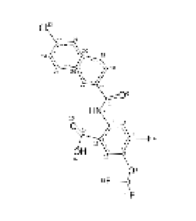 O=C(Nc1cc(F)c(OC(F)F)cc1C(=O)O)c1ccc2cc(Cl)ccc2c1